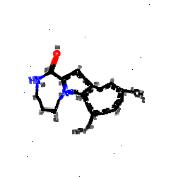 CCCc1cc(C)cc2cc3n(c12)CCCNC3=O